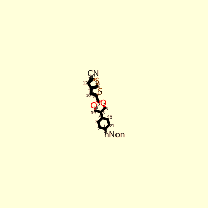 CCCCCCCCCC1CCC(C2COC(c3cc4cc(C#N)sc4s3)OC2)CC1